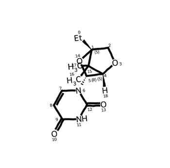 CC[C@]12CO[C@H]([C@H](n3ccc(=O)[nH]c3=O)O1)C2(C)C